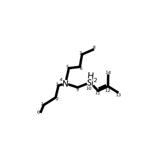 CCCCN(CCCC)C[SiH2]C=C(C)C